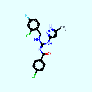 O=C(/N=C(/NCc1ccc(F)cc1Cl)Nc1cc(C(F)(F)F)[nH]n1)c1ccc(Cl)cc1